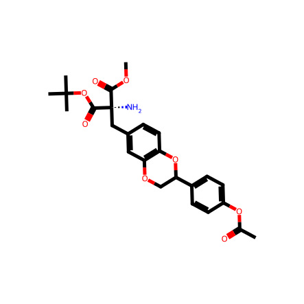 COC(=O)[C@@](N)(Cc1ccc2c(c1)OCC(c1ccc(OC(C)=O)cc1)O2)C(=O)OC(C)(C)C